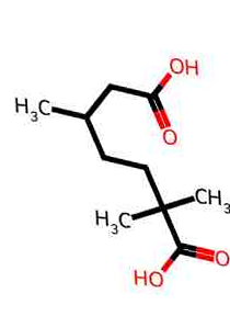 CC(CCC(C)(C)C(=O)O)CC(=O)O